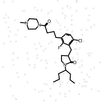 CCCC(CCC)N1CCC(Cc2c(Cl)ccc(CCCC(=O)N3CCN(C)CC3)c2F)C1=O